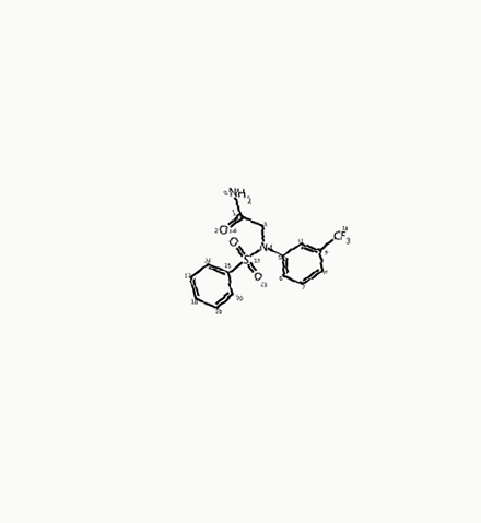 NC(=O)CN(c1cccc(C(F)(F)F)c1)S(=O)(=O)c1ccccc1